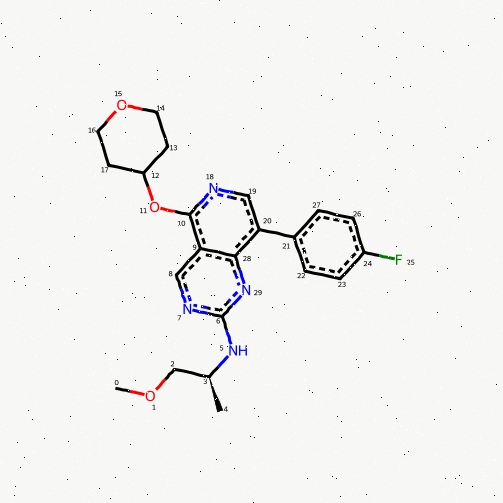 COC[C@H](C)Nc1ncc2c(OC3CCOCC3)ncc(-c3ccc(F)cc3)c2n1